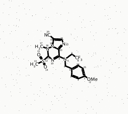 COc1ccc(CN(CC(F)(F)F)C2=NC(S(C)(=O)=O)N(C)n3c(C#N)cnc32)cc1